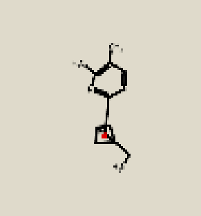 Cc1cnc(N2CC3(CN)CC2C3)nc1C